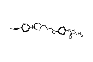 CC#Cc1ccc(N2CCN(CCCOc3ccc(NC(N)=O)cc3)CC2)cc1